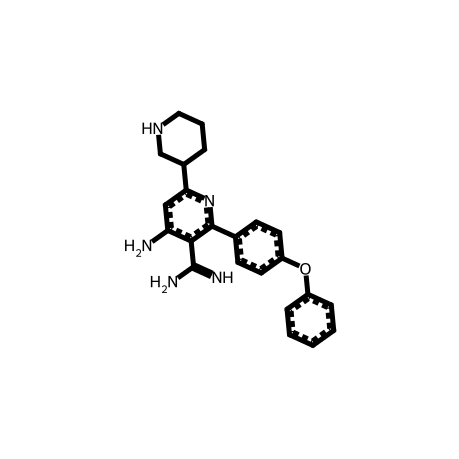 N=C(N)c1c(N)cc(C2CCCNC2)nc1-c1ccc(Oc2ccccc2)cc1